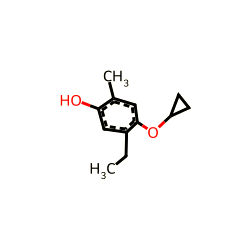 CCc1cc(O)c(C)cc1OC1CC1